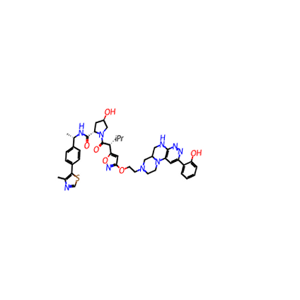 Cc1ncsc1-c1ccc([C@H](C)NC(=O)[C@@H]2C[C@@H](O)CN2C(=O)[C@@H](c2cc(OCCN3CCN4c5cc(-c6ccccc6O)nnc5NCC4C3)no2)C(C)C)cc1